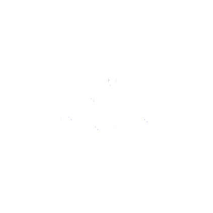 N#[C][Fe][N]=C(N)N.O.[KH]